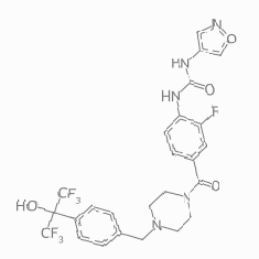 O=C(Nc1cnoc1)Nc1ccc(C(=O)N2CCN(Cc3ccc(C(O)(C(F)(F)F)C(F)(F)F)cc3)CC2)cc1F